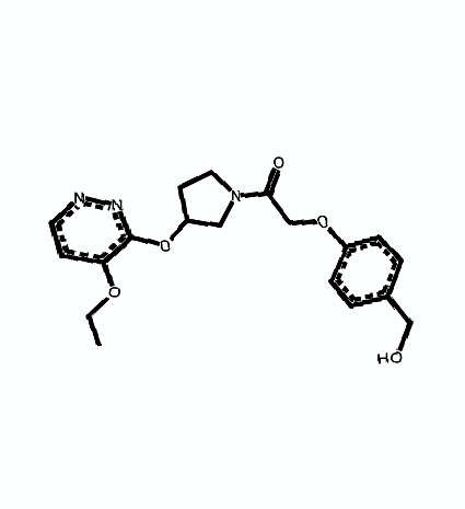 CCOc1ccnnc1OC1CCN(C(=O)COc2ccc(CO)cc2)C1